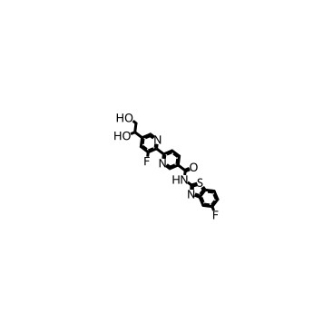 O=C(Nc1nc2cc(F)ccc2s1)c1ccc(-c2ncc(C(O)CO)cc2F)nc1